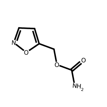 NC(=O)OCc1ccno1